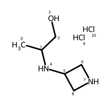 CC(CO)NC1CNC1.Cl.Cl